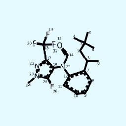 CC(CC(C)(C)C)c1ccccc1N(C=O)c1c(C(F)(F)F)nn(C)c1F